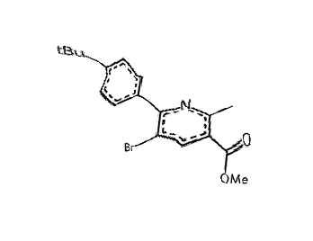 COC(=O)c1cc(Br)c(-c2ccc(C(C)(C)C)cc2)nc1C